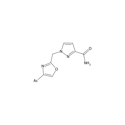 CC(=O)c1coc(Cn2ccc(C(N)=O)n2)n1